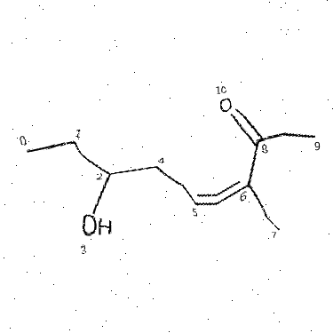 CCC(O)CC=C(C)C(C)=O